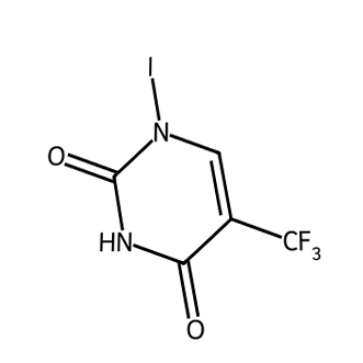 O=c1[nH]c(=O)n(I)cc1C(F)(F)F